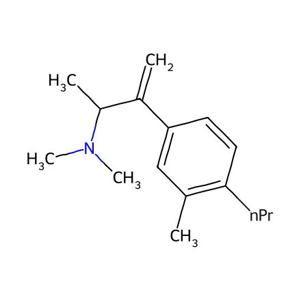 C=C(c1ccc(CCC)c(C)c1)C(C)N(C)C